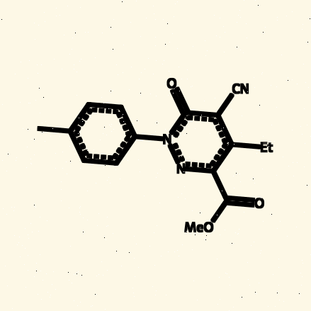 CCc1c(C(=O)OC)nn(-c2ccc(C)cc2)c(=O)c1C#N